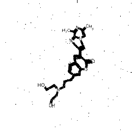 Cc1cn2cc(-c3cc4ccc(CCCN(CCO)CCO)cc4oc3=O)nc2c(C)n1